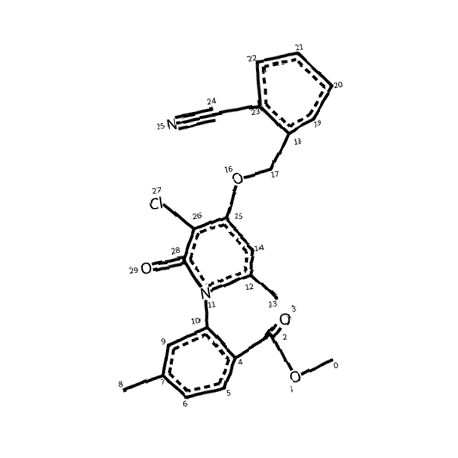 COC(=O)c1ccc(C)cc1-n1c(C)cc(OCc2ccccc2C#N)c(Cl)c1=O